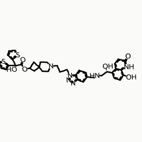 O=C(OC1CC2(CCN(CCCn3nnc4cc(CNC[C@H](O)c5ccc(O)c6[nH]c(=O)ccc56)ccc43)CC2)C1)C(O)(c1cccs1)c1cccs1